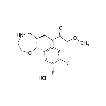 COCC(=O)NC[C@@H]1CNCCO[C@H]1c1ccc(Cl)c(F)c1.Cl